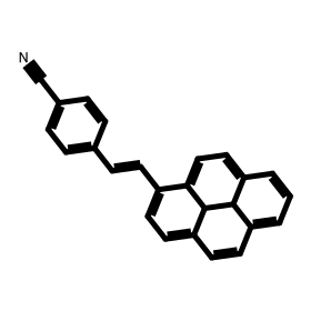 N#Cc1ccc(/C=C/C2=CC=C3C=CC4=CC=CC5=CC=C2C3C45)cc1